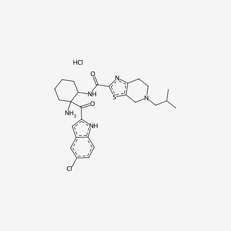 CC(C)CN1CCc2nc(C(=O)NC3CCCCC3(N)C(=O)c3cc4cc(Cl)ccc4[nH]3)sc2C1.Cl